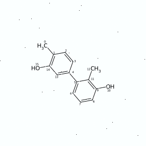 Cc1ccc(-c2cccc(O)c2C)cc1O